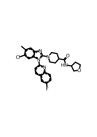 Cc1cc2nc(N3CCC(C(=O)NC4CCOC4)CC3)n(-c3ccc4cc(F)ccc4n3)c2cc1Cl